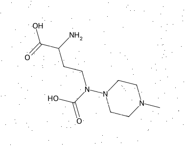 CN1CCN(N(CCC(N)C(=O)O)C(=O)O)CC1